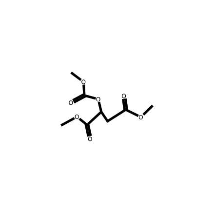 COC(=O)CC(OC(=O)OC)C(=O)OC